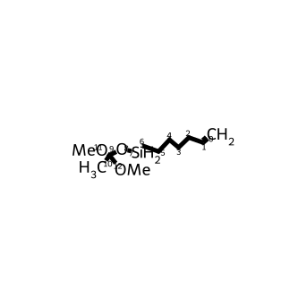 C=CCCCCC[SiH2]OC(C)(OC)OC